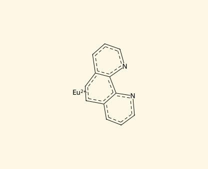 [Eu+2].c1cnc2c(c1)ccc1cccnc12